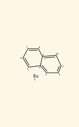 [Eu].c1ccc2ccccc2c1